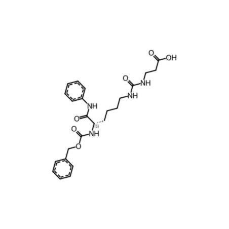 O=C(O)CCNC(=O)NCCCC[C@H](NC(=O)OCc1ccccc1)C(=O)Nc1ccccc1